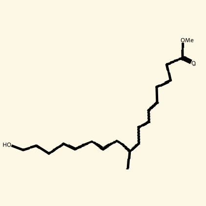 COC(=O)CCCCCCCCC(C)CCCCCCCCO